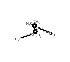 CCCCCCCCOc1cc2c(cc1C)B(CCCCCCCC)c1cc(C)c(C)cc1-2